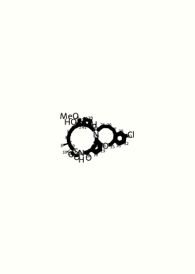 COC[C@]1(O)CCC[C@H](C)[C@@H](C)S(=O)(=O)NC(=O)c2ccc3c(c2)N(CCCCc2cc(Cl)ccc2CO3)C[C@@H]2CC[C@H]21